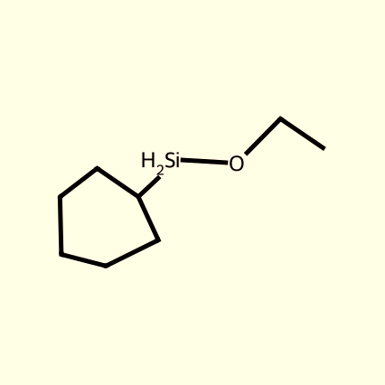 CCO[SiH2]C1CCCCC1